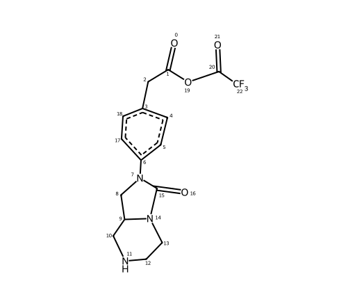 O=C(Cc1ccc(N2CC3CNCCN3C2=O)cc1)OC(=O)C(F)(F)F